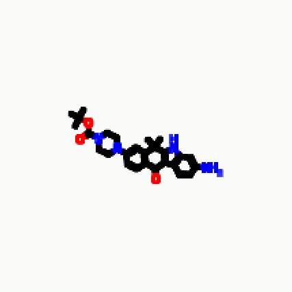 CC(C)(C)OC(=O)N1CCN(c2ccc3c(c2)C(C)(C)c2[nH]c4cc(N)ccc4c2C3=O)CC1